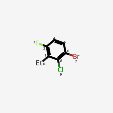 CCc1c(F)ccc(Br)c1Cl